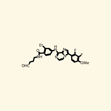 CCc1cc(Nc2nccn3c(-c4ccc(OC)c(F)c4F)cnc23)ccc1C(=O)NCCCC=O